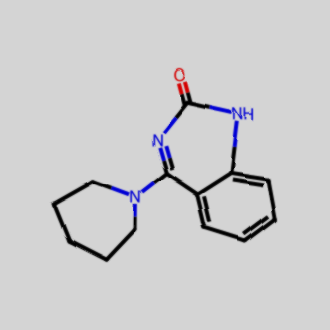 O=c1nc(N2CCCCC2)c2ccccc2[nH]1